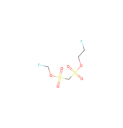 O=S(=O)(CS(=O)(=O)OCCF)OCF